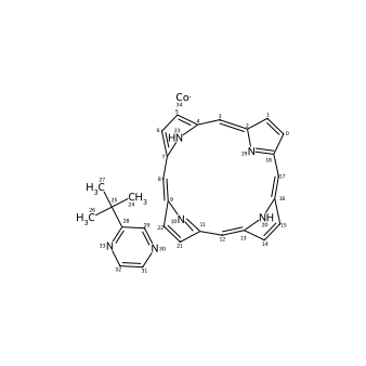 C1=Cc2cc3ccc(cc4nc(cc5ccc(cc1n2)[nH]5)C=C4)[nH]3.CC(C)(C)c1cnccn1.[Co]